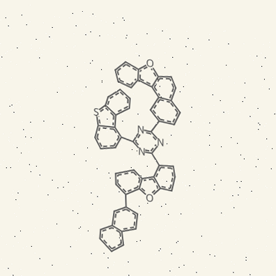 c1ccc2cc(-c3cccc4c3oc3cccc(-c5nc(-c6ccc7ccc8oc9ccccc9c8c7c6)nc(-c6cccc7sc8ccccc8c67)n5)c34)ccc2c1